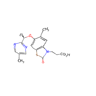 CC[C@@H](Oc1cc2sc(=O)n(CCC(=O)O)c2cc1C)c1ncc(C)cn1